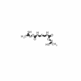 CC(S)=NOC(=O)NCSCNC(=O)ON=C(C)S